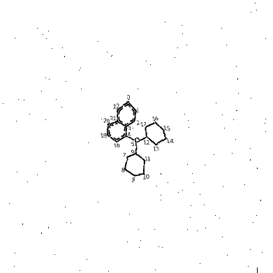 c1ccc2c(P(C3CCCCC3)C3CCCCC3)cccc2c1